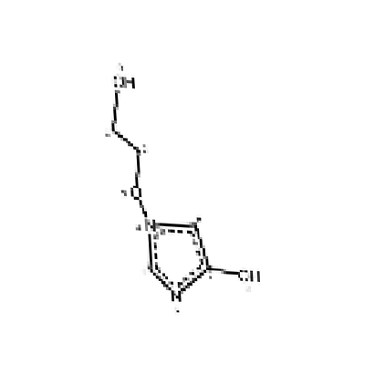 OCCOn1cnc(O)c1